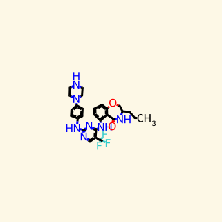 CCCC1COc2cccc(Nc3nc(Nc4ccc(N5CCNCC5)cc4)ncc3C(F)(F)F)c2C(=O)N1